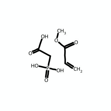 C=CC(=O)OC.O=C(O)CP(=O)(O)O